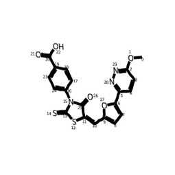 COc1ccc(-c2ccc(C=C3SC(=S)N(c4ccc(C(=O)O)cc4)C3=O)o2)nn1